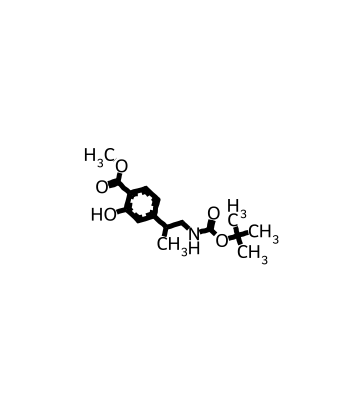 COC(=O)c1ccc(C(C)CNC(=O)OC(C)(C)C)cc1O